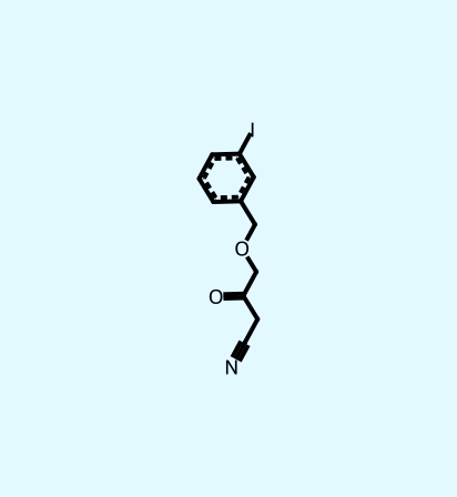 N#CCC(=O)COCc1cccc(I)c1